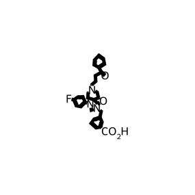 O=C(O)c1cccc(CN2CN(c3ccc(F)cc3)C3(CCN(CCCC(=O)c4ccccc4)CC3)C2=O)c1